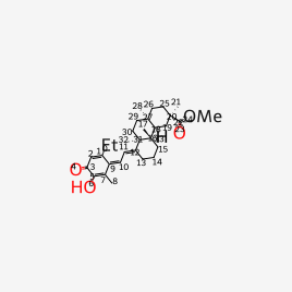 CCC1=CC(=O)C(O)=C(C)/C1=C/C=C1\CCC[C@@]2(C)[C@@H]3C[C@](C)(C(=O)OC)CC[C@]3(C)CC[C@]12C